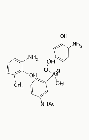 CC(=O)Nc1cccc([As](=O)(O)OO)c1.Cc1cccc(N)c1O.Nc1ccccc1O